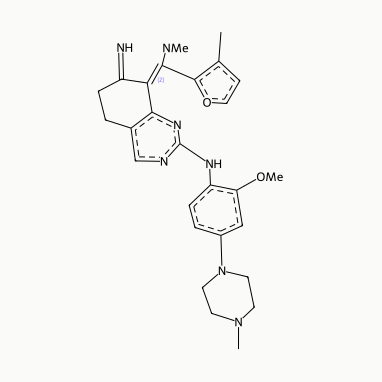 CN/C(=C1\C(=N)CCc2cnc(Nc3ccc(N4CCN(C)CC4)cc3OC)nc21)c1occc1C